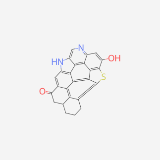 O=C1CC2CCCc3c2c2c1cc1[nH]c4cnc5cc(O)c6sc3c3c6c5c4c1c23